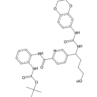 CC(C)(C)OC(=O)Nc1ccccc1NC(=O)c1ccc(C(CCCO)NC(=O)Nc2ccc3c(c2)OCCO3)cn1